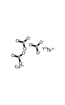 [Gd+3].[O-]B([O-])[O-].[O-]B([O-])[O-].[O-]B([O-])[O-].[Tb+3].[Y+3]